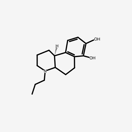 CCCN1CCC[C@H]2c3ccc(O)c(O)c3CCC21